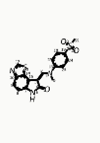 CN(C=C1C(=O)Nc2ccc3ncsc3c21)c1ccc(S(C)(=O)=O)cc1